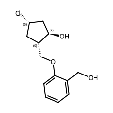 OCc1ccccc1OC[C@@H]1C[C@H](Cl)C[C@H]1O